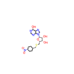 O=[N+]([O-])c1ccc(CSC[C@H]2O[C@@H](n3cnc4c(O)ncnc43)[C@H](O)[C@@H]2O)cc1